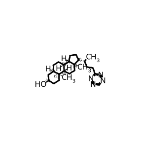 CC(CCc1nncnn1)[C@H]1CC[C@H]2[C@@H]3CC[C@@H]4C[C@H](O)CC[C@]4(C)[C@H]3CC[C@]12C